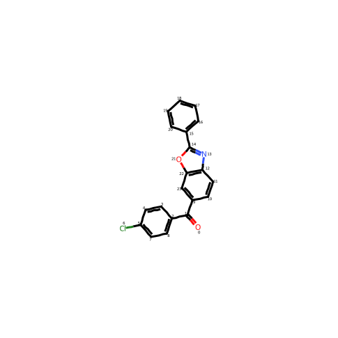 O=C(c1ccc(Cl)cc1)c1ccc2nc(-c3ccccc3)oc2c1